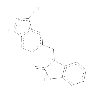 Nc1n[nH]c2ccc(/C=C3\C(=O)Nc4ccccc43)cc12